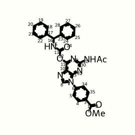 COC(=O)c1ccc(-n2cnc3c(OC(=O)NC(c4ccccc4)c4ccccc4)nc(NC(C)=O)nc32)cc1